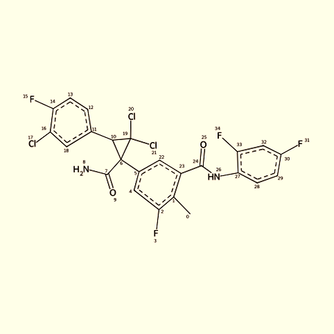 Cc1c(F)cc(C2(C(N)=O)C(c3ccc(F)c(Cl)c3)C2(Cl)Cl)cc1C(=O)Nc1ccc(F)cc1F